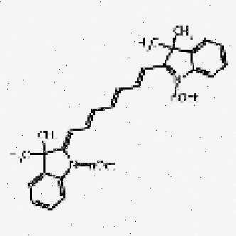 CCCCCCCCN1C(=CC=CC=C/C=C/C2=[N+](CCCCCCCC)c3ccccc3C2(C)C)C(C)(C)c2ccccc21